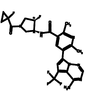 Cc1nc(C)c(-c2cc(C(F)(F)F)c3c(N)ncnn23)cc1C(=O)N[C@@H]1CN(C(=O)C2(F)CC2)C[C@@H]1F